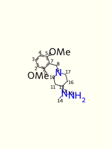 COc1cccc(OC)c1CN1CCC(N(C)N)CC1